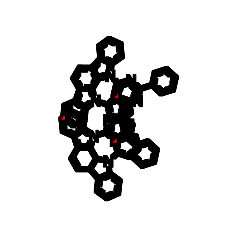 C1=CC2c3ccccc3N(c3cccc(-c4cccc(-n5c6ccccc6c6ccc7c8ccccc8n(-c8nc(-c9ccccc9)nc(-c9ccccc9)n8)c7c65)c4)c3)C2c2c1c1ccccc1n2-c1nc(-c2ccccc2)nc(-c2ccccc2)n1